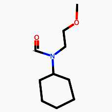 COCCN([C]=O)C1CCCCC1